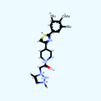 COc1c(C(C)(C)C)cc(-c2nc(C3CCN(C(=O)CN4NN(C)C=C4C)CC3)cs2)cc1C(C)(C)C